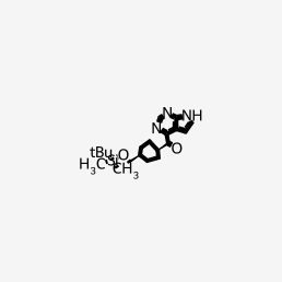 CC(C)(C)[Si](C)(C)OC[C@H]1CC[C@@H](C(=O)c2ncnc3[nH]ccc23)CC1